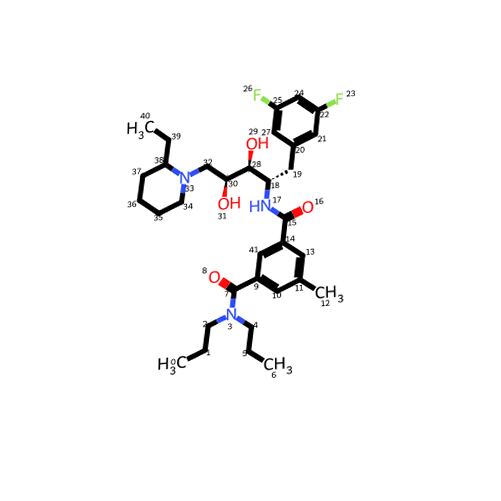 CCCN(CCC)C(=O)c1cc(C)cc(C(=O)N[C@@H](Cc2cc(F)cc(F)c2)[C@H](O)[C@@H](O)CN2CCCCC2CC)c1